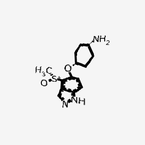 C[S+]([O-])c1c(O[C@H]2CC[C@@H](N)CC2)ccc2[nH]ncc12